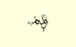 Nc1cn([C@@H](CC(F)F)c2nncn2CC(F)(F)F)nc1F